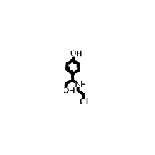 OCCNC(CO)c1ccc(O)cc1